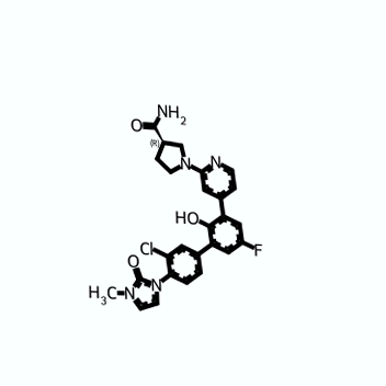 Cn1ccn(-c2ccc(-c3cc(F)cc(-c4ccnc(N5CC[C@@H](C(N)=O)C5)c4)c3O)cc2Cl)c1=O